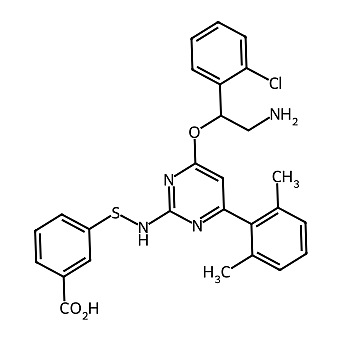 Cc1cccc(C)c1-c1cc(OC(CN)c2ccccc2Cl)nc(NSc2cccc(C(=O)O)c2)n1